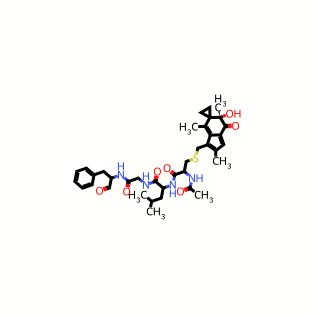 CC(=O)NC(CSCC1=C(C)C=C2C(=O)[C@](C)(O)C3(CC3)C(C)=C21)C(=O)NC(CC(C)C)C(=O)NCC(=O)NC(C=O)Cc1ccccc1